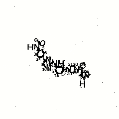 CC(=O)Nc1ccc(-c2ccnc(Nc3cccc(N4CCN(C(=O)c5cn[nH]c5)CC4)c3)n2)cc1